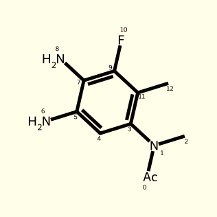 CC(=O)N(C)c1cc(N)c(N)c(F)c1C